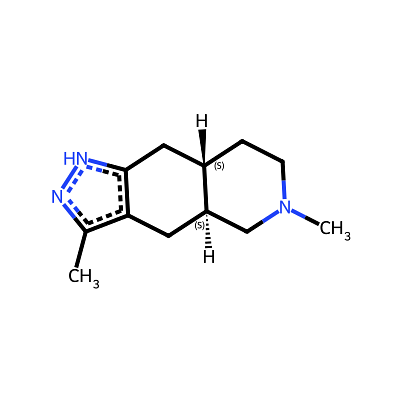 Cc1n[nH]c2c1C[C@@H]1CN(C)CC[C@H]1C2